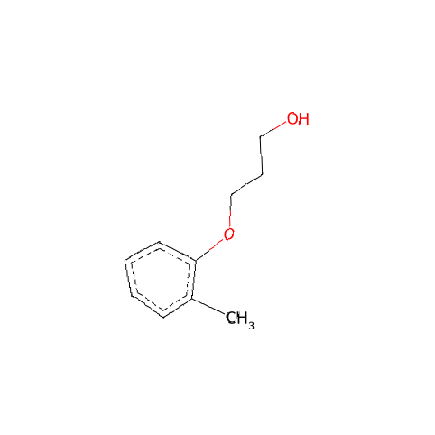 Cc1ccccc1OCCCO